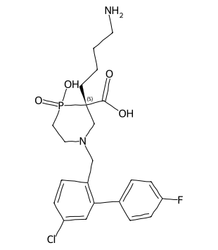 NCCCC[C@@]1(C(=O)O)CN(Cc2ccc(Cl)cc2-c2ccc(F)cc2)CCP1(=O)O